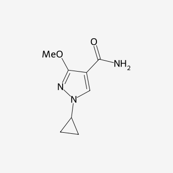 COc1nn(C2CC2)cc1C(N)=O